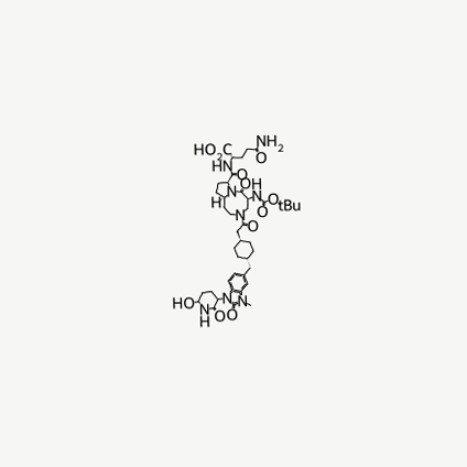 Cn1c(=O)n(C2CCC(O)NC2=O)c2ccc(C[C@H]3CC[C@H](CC(=O)N4CC[C@H]5CC[C@@H](C(=O)N[C@@H](CCC(N)=O)C(=O)O)N5C(=O)[C@@H](NC(=O)OC(C)(C)C)C4)CC3)cc21